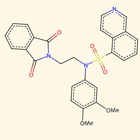 COc1ccc(N(CCN2C(=O)c3ccccc3C2=O)S(=O)(=O)c2cccc3cnccc23)cc1OC